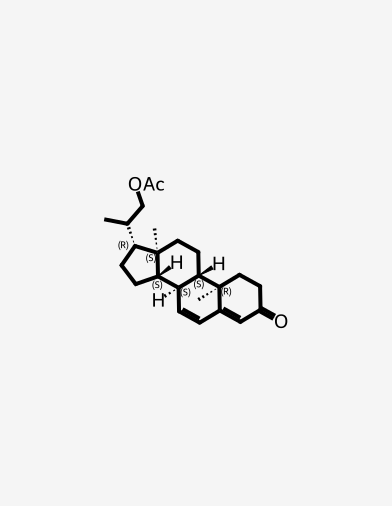 CC(=O)OCC(C)[C@H]1CC[C@H]2[C@@H]3C=CC4=CC(=O)CC[C@]4(C)[C@H]3CC[C@]12C